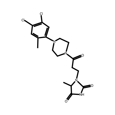 Cc1cc(Cl)c(Cl)cc1N1CCN(C(=O)CCN2C(=O)NC(=O)C2C)CC1